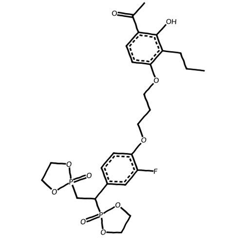 CCCc1c(OCCCOc2ccc(C(CP3(=O)OCCO3)P3(=O)OCCO3)cc2F)ccc(C(C)=O)c1O